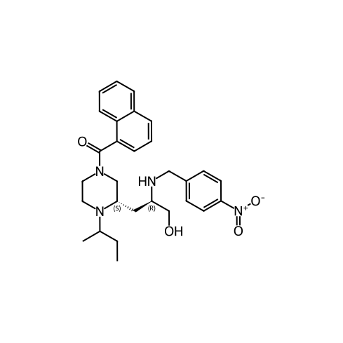 CCC(C)N1CCN(C(=O)c2cccc3ccccc23)C[C@@H]1C[C@H](CO)NCc1ccc([N+](=O)[O-])cc1